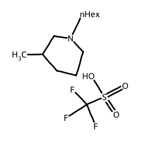 CCCCCCN1CCCC(C)C1.O=S(=O)(O)C(F)(F)F